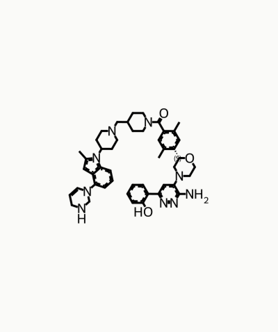 Cc1cc([C@H]2CN(c3cc(-c4ccccc4O)nnc3N)CCO2)c(C)cc1C(=O)N1CCC(CN2CCC(n3c(C)cc4c(N5C=CCNC5)cccc43)CC2)CC1